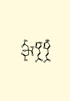 O=C(O)CC(O)(CC(=O)O)C(=O)O.O=C([O-])C=Cc1c[nH]cn1.O=C([O-])C=Cc1c[nH]cn1.[Se+2]